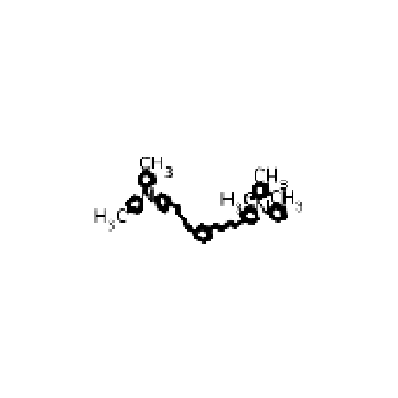 Cc1ccc(N(c2ccc(C)cc2)c2ccc(C=CC=Cc3cccc(C=CC=Cc4ccc(N(c5ccccc5)c5c(C)cc(C)cc5C)cc4)c3)cc2)cc1